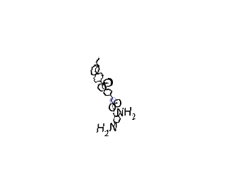 C=CCOC1CCC(C(=O)Oc2ccc(/C=C/C(=O)OCCc3cc(N)ccc3N)cc2)CC1